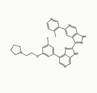 Cc1ccncc1-c1cc2c(-c3nc4c(-c5cc(F)cc(OCCN6CCCC6)c5)cncc4[nH]3)n[nH]c2cn1